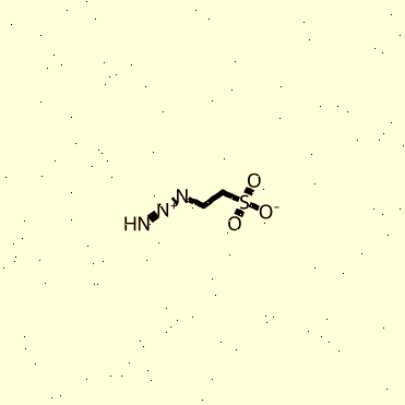 N=[N+]=NCCS(=O)(=O)[O-]